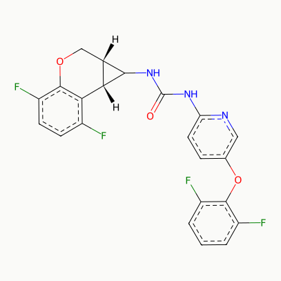 O=C(Nc1ccc(Oc2c(F)cccc2F)cn1)NC1[C@H]2COc3c(F)ccc(F)c3[C@@H]12